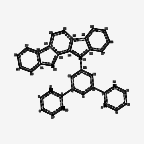 c1cnc(-c2cc(-c3ncccn3)cc(-n3c4ccccc4c4ccc5c6ccccc6sc5c43)c2)nc1